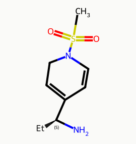 CC[C@H](N)C1=CCN(S(C)(=O)=O)C=C1